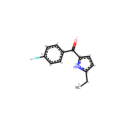 N#CCc1ccc(C(=O)c2ccc(F)cc2)[nH]1